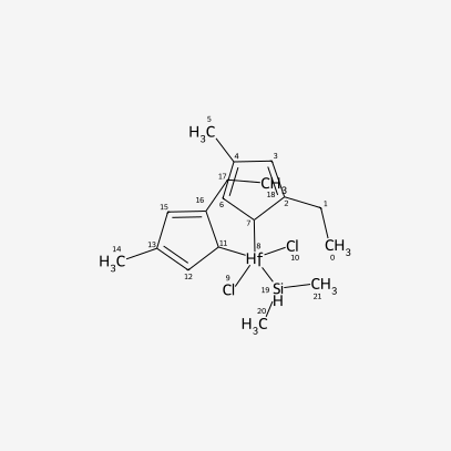 CCC1=CC(C)=C[CH]1[Hf]([Cl])([Cl])([CH]1C=C(C)C=C1CC)[SiH](C)C